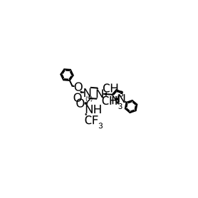 CC(C)(c1ccn(-c2ccccc2)n1)N1CCN(C(=O)OCc2ccccc2)[C@H](C(=O)NCC(F)(F)F)C1